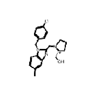 Cc1ccc2c(c1)nc(CN1CCC[C@@H]1CO)n2Cc1ccc(Cl)cc1